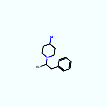 CC(C)(C)C(Cc1ccccc1)N1CCC(N)CC1